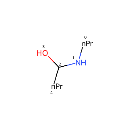 CCCNC(O)CCC